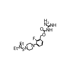 CCN(CC)SN1CCN(c2cccc(COC(=O)NC(=N)N)c2F)CC1